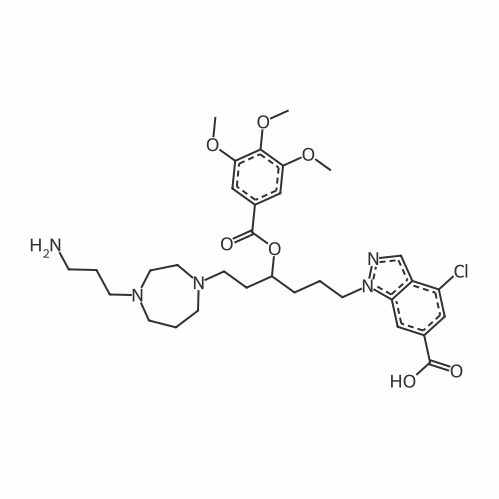 COc1cc(C(=O)OC(CCCn2ncc3c(Cl)cc(C(=O)O)cc32)CCN2CCCN(CCCN)CC2)cc(OC)c1OC